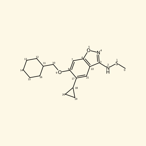 CSNc1noc2cc(OCC3CCCCC3)c(C3CC3)cc12